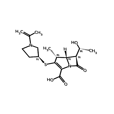 C=C(C)N1CC[C@H](SC2=C(C(=O)O)N3C(=O)[C@H]([C@@H](C)O)[C@H]3[C@H]2C)C1